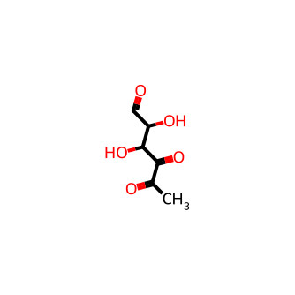 CC(=O)C(=O)C(O)C(O)C=O